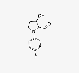 O=CC1C(O)CCN1c1ccc(F)cc1